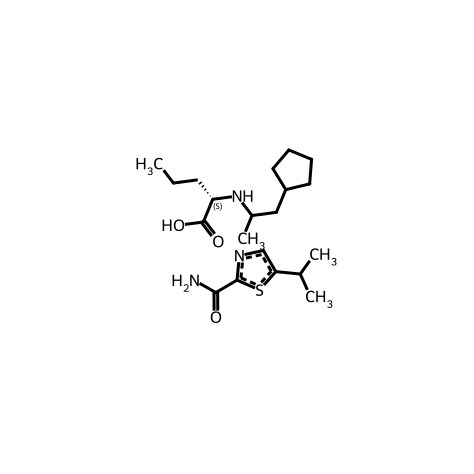 CC(C)c1cnc(C(N)=O)s1.CCC[C@H](NC(C)CC1CCCC1)C(=O)O